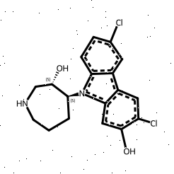 Oc1cc2c(cc1Cl)c1cc(Cl)ccc1n2[C@H]1CCCNC[C@@H]1O